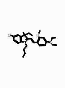 CCCC[N+]1=C(/C=C/c2ccc(N(CC)CC)cc2OC)C(C)(CC)c2cc(Cl)ccc21